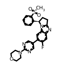 CS(=O)(=O)c1ccccc1[C@H]1CCc2nc3cc(F)c(-c4cnc(N5CCOCC5)nc4)cc3n21